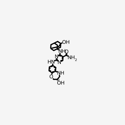 NC(=O)c1cnc(Nc2ccc3c(c2)NC[C@H](O)CO3)nc1NC12CC3CC(CC(O)(C3)C1)C2